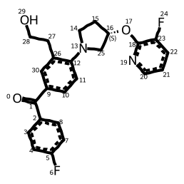 O=C(c1ccc(F)cc1)c1ccc(N2CC[C@H](Oc3ncccc3F)C2)c(CCO)c1